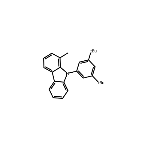 Cc1cccc2c3ccccc3n(-c3cc(C(C)(C)C)cc(C(C)(C)C)c3)c12